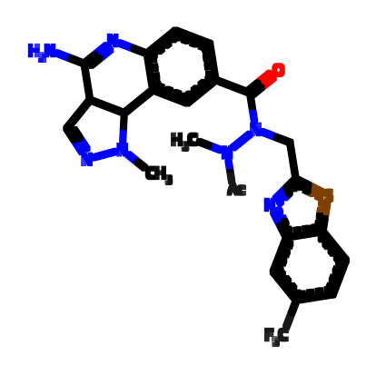 CC(=O)N(C)N(Cc1nc2cc(C(F)(F)F)ccc2s1)C(=O)c1ccc2c(c1)C1C(C=NN1C)C(N)=N2